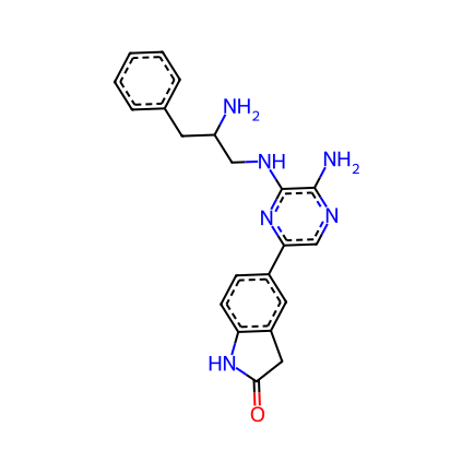 Nc1ncc(-c2ccc3c(c2)CC(=O)N3)nc1NCC(N)Cc1ccccc1